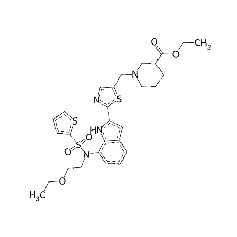 CCOCCN(c1cccc2cc(-c3ncc(CN4CCCC(C(=O)OCC)C4)s3)[nH]c12)S(=O)(=O)c1cccs1